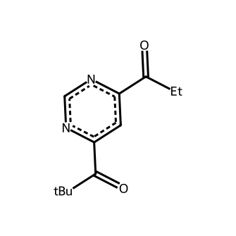 CCC(=O)c1cc(C(=O)C(C)(C)C)ncn1